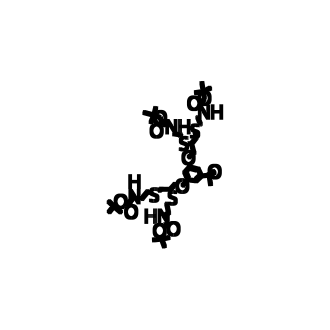 CC(=O)c1cc(OCC(CSCCNC(=O)OC(C)(C)C)SCCNC(=O)OC(C)(C)C)cc(OCC(CSCCNC(=O)OC(C)(C)C)SCCNC(=O)OC(C)(C)C)c1